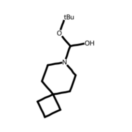 CC(C)(C)OC(O)N1CCC2(CCC2)CC1